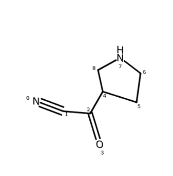 N#CC(=O)C1CCNC1